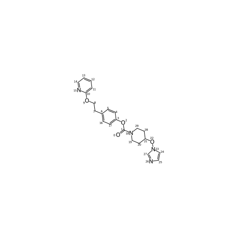 O=C(Oc1ccc(CCOc2ccccn2)cc1)N1CCC(On2ccnc2)CC1